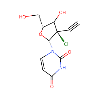 C#C[C@@]1(Cl)C(O)[C@@H](CO)O[C@H]1n1ccc(=O)[nH]c1=O